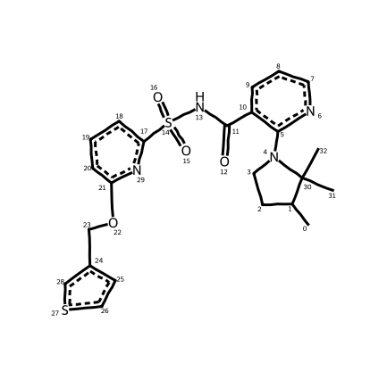 CC1CCN(c2ncccc2C(=O)NS(=O)(=O)c2cccc(OCc3ccsc3)n2)C1(C)C